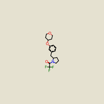 O=C(N1CCCC1Cc1cccc(OC2CCOCC2)c1)C(F)(F)F